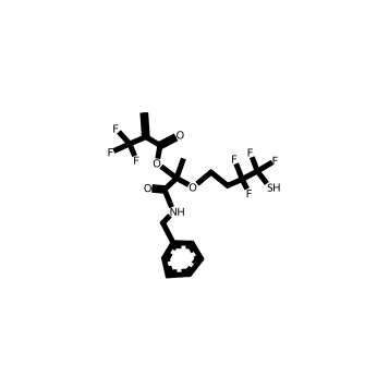 C=C(C(=O)OC(C)(OCCC(F)(F)C(F)(F)S)C(=O)NCc1ccccc1)C(F)(F)F